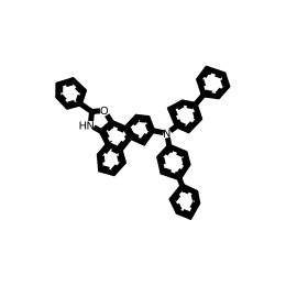 c1ccc(-c2ccc(N(c3ccc(-c4ccccc4)cc3)c3ccc4c5c(c6ccccc6c4c3)NC(c3ccccc3)O5)cc2)cc1